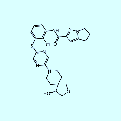 O=C(Nc1cccc(Sc2cnc(N3CCC4(CC3)COC[C@H]4O)cn2)c1Cl)c1cc2n(n1)CCC2